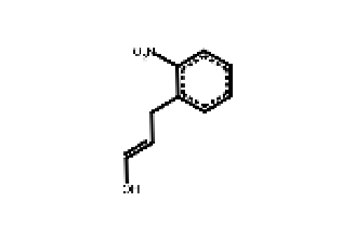 O=[N+]([O-])c1ccccc1C/C=C/O